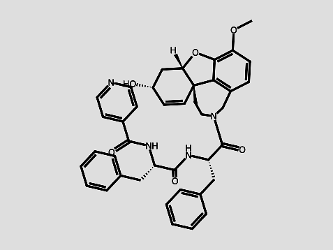 COc1ccc2c3c1O[C@H]1C[C@@H](O)C=C[C@@]31CCN(C(=O)[C@H](Cc1ccccc1)NC(=O)[C@H](Cc1ccccc1)NC(=O)c1ccncc1)C2